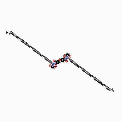 C=C=C=C=C=C=C=C=C=C=C=C=C=C=C=C=C=C=C=C=C=C=C=C=C=C=C=C=C=C=C=C=C=C=C=C(N1C(=O)C=CC1=O)N1C(=O)c2ccc(Oc3ccc4c(c3)C(=O)N(C(=C=C=C=C=C=C=C=C=C=C=C=C=C=C=C=C=C=C=C=C=C=C=C=C=C=C=C=C=C=C=C=C=C=C=C)N3C(=O)C=CC3=O)C4=O)cc2C1=O